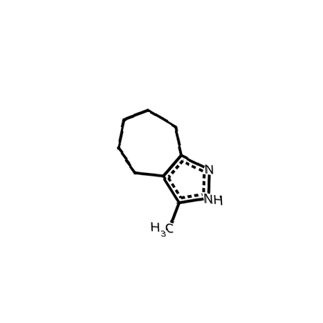 Cc1[nH]nc2c1CCCCC2